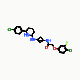 O=C(COc1ccc(Cl)c(F)c1)NC12CC(NC3CCCC(c4ccc(Cl)cc4)N3)(C1)C2